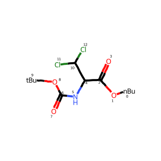 CCCCOC(=O)C(NC(=O)OC(C)(C)C)C(Cl)Cl